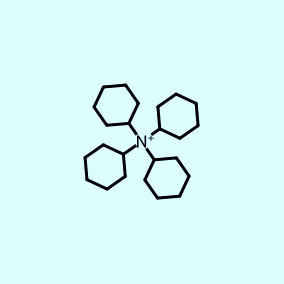 C1CCC([N+](C2CCCCC2)(C2CCCCC2)C2CCCCC2)CC1